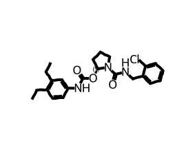 CCc1ccc(NC(=O)O[C@H]2CCCN2C(=O)NCc2ccccc2Cl)cc1CC